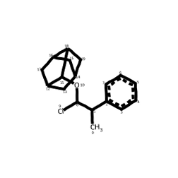 CC(c1ccccc1)C(Cl)OC1C2CC3CC(C2)C1C3